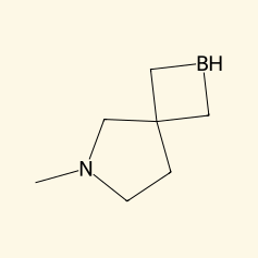 CN1CCC2(CBC2)C1